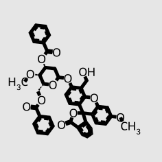 COc1ccc2c(c1)Oc1c(ccc(OC3C[C@@H](OC(=O)c4ccccc4)[C@@H](OC)[C@@H](COC(=O)c4ccccc4)O3)c1CO)C21OC(=O)c2ccccc21